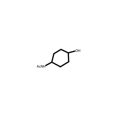 CC(=O)NC1CC[C](O)CC1